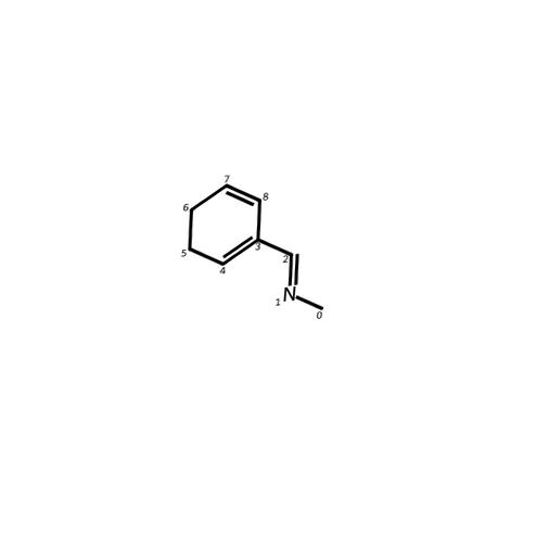 C/N=C/C1=CCCC=C1